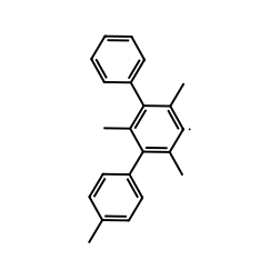 Cc1ccc(-c2c(C)[c]c(C)c(-c3ccccc3)c2C)cc1